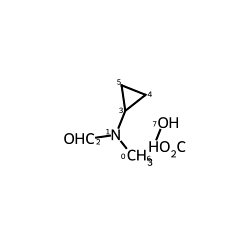 CN(C=O)C1CC1.O=C(O)O